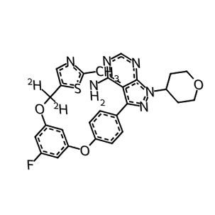 [2H]C([2H])(Oc1cc(F)cc(Oc2ccc(-c3nn(C4CCOCC4)c4ncnc(N)c34)cc2)c1)c1cnc(C)s1